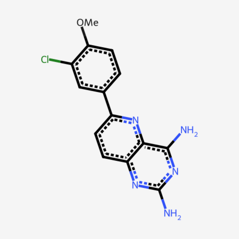 COc1ccc(-c2ccc3nc(N)nc(N)c3n2)cc1Cl